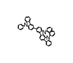 c1ccc(-n2c3ccccc3c3cc(-c4ccc5c(c4)c4ccc6c7ccccc7n(-c7ccccc7)c6c4n5-c4ccccc4)ccc32)cc1